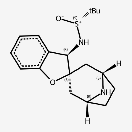 CC(C)(C)[S@@+]([O-])N[C@@H]1c2ccccc2O[C@@]12C[C@H]1CC[C@@H](C2)N1